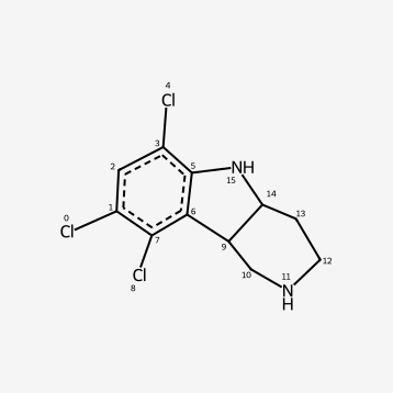 Clc1cc(Cl)c2c(c1Cl)C1CNCCC1N2